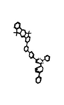 CC1(C)C2=CC3c4ccccc4C(C)(C)C3C=C2c2cc(-c3cccc(-c4ccc(-c5cc(-c6ccc(-c7ccccc7)cc6)nc(-c6ccccc6)n5)cc4)c3)ccc21